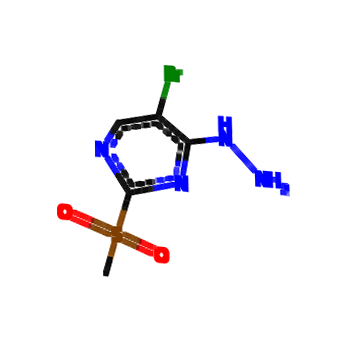 CS(=O)(=O)c1ncc(Br)c(NN)n1